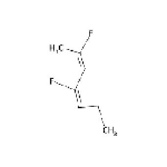 CC/C=C(F)\C=C(/C)F